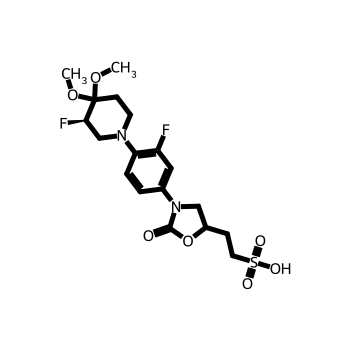 COC1(OC)CCN(c2ccc(N3CC(CCS(=O)(=O)O)OC3=O)cc2F)C[C@H]1F